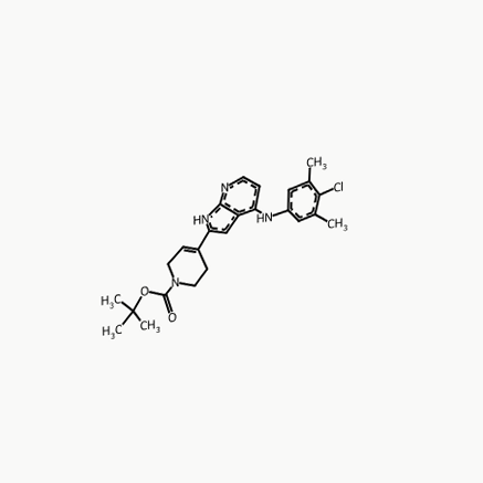 Cc1cc(Nc2ccnc3[nH]c(C4=CCN(C(=O)OC(C)(C)C)CC4)cc23)cc(C)c1Cl